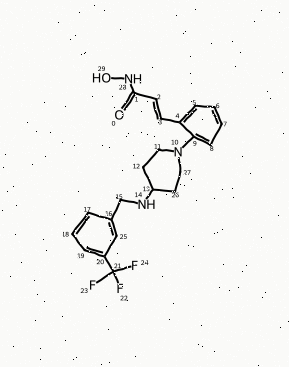 O=C(C=Cc1ccccc1N1CCC(NCc2cccc(C(F)(F)F)c2)CC1)NO